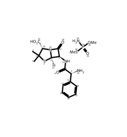 CC1(C)S[C@@H]2[C@H](NC(=O)[C@H](N)c3ccccc3)C(=O)N2[C@H]1C(=O)O.COP(N)(=O)SC